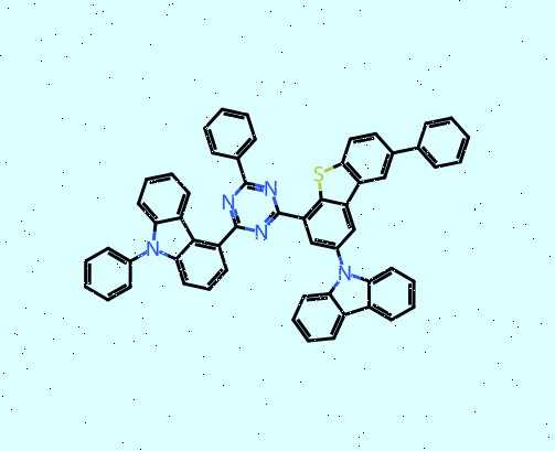 c1ccc(-c2ccc3sc4c(-c5nc(-c6ccccc6)nc(-c6cccc7c6c6ccccc6n7-c6ccccc6)n5)cc(-n5c6ccccc6c6ccccc65)cc4c3c2)cc1